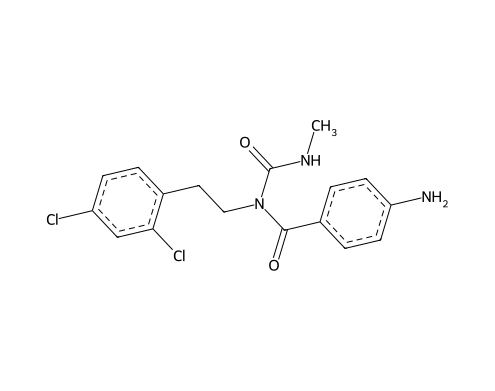 CNC(=O)N(CCc1ccc(Cl)cc1Cl)C(=O)c1ccc(N)cc1